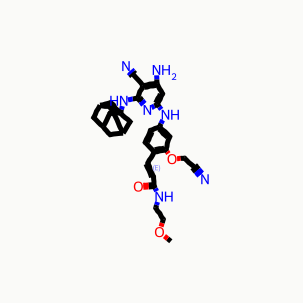 COCCNC(=O)/C=C/c1ccc(Nc2cc(N)c(C#N)c(NC34CC5CC(CC(C5)C3)C4)n2)cc1OCC#N